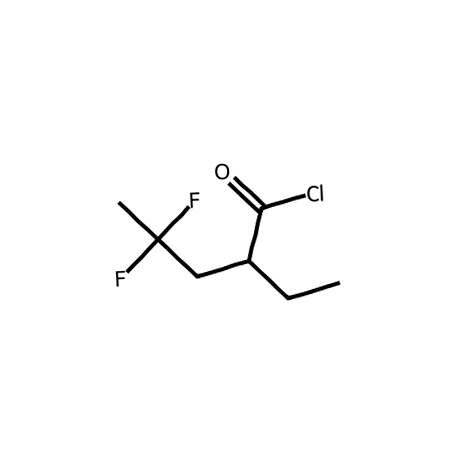 CCC(CC(C)(F)F)C(=O)Cl